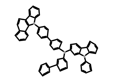 c1ccc(-c2cccc(N(c3ccc(-c4ccc(-n5c6ccccc6c6ccc7ccccc7c65)cc4)cc3)c3ccc4c5ccccc5n(-c5ccccc5)c4c3)c2)cc1